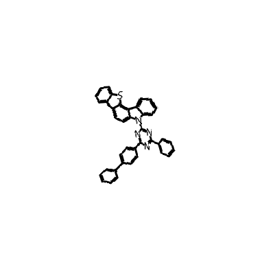 c1ccc(-c2ccc(-c3nc(-c4ccccc4)nc(-n4c5ccccc5c5c6sc7ccccc7c6ccc54)n3)cc2)cc1